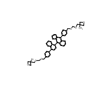 CCC1(COCOCc2ccc(-c3ccc(-c4c5ccccc5c(-c5ccc(COCOCC6(C)COC6)cc5)c5ccccc45)c4ccccc34)cc2)COC1